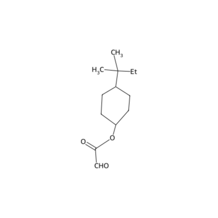 CCC(C)(C)C1CCC(OC(=O)C=O)CC1